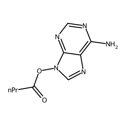 CCCC(=O)On1cnc2c(N)ncnc21